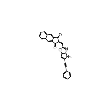 Cn1c(C#Cc2ccccc2)cc2oc(C=C3C(=O)c4cc5ccccc5cc4C3=O)nc21